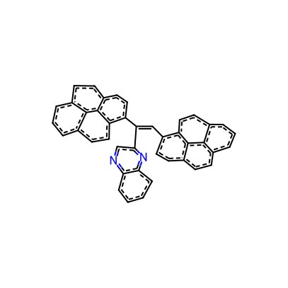 C(=C(c1cnc2ccccc2n1)c1ccc2ccc3cccc4ccc1c2c34)c1ccc2ccc3cccc4ccc1c2c34